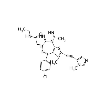 CCNC(=O)C[C@@H]1N=C(c2ccc(Cl)cc2)c2c(sc(C#Cc3cncn3C)c2C)N(C(C)=N)C1=N